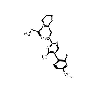 Cc1nc(NC[C@@H]2CCCCN2C(=O)OC(C)(C)C)ncc1-c1ccc(C(F)(F)F)cc1F